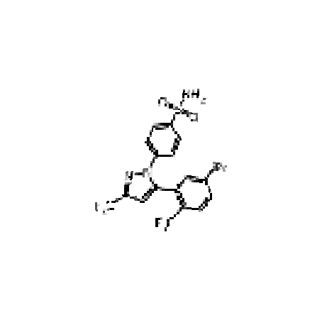 CC(C)c1ccc(C(F)(F)F)c(-c2cc(C(F)(F)F)nn2-c2ccc(S(N)(=O)=O)cc2)c1